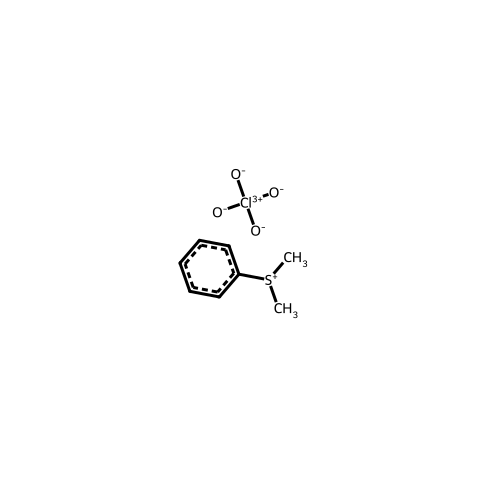 C[S+](C)c1ccccc1.[O-][Cl+3]([O-])([O-])[O-]